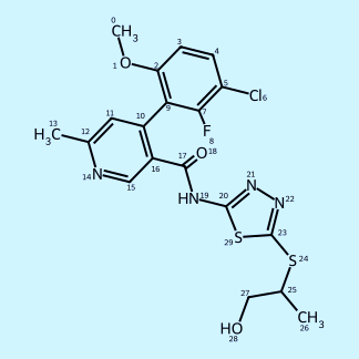 COc1ccc(Cl)c(F)c1-c1cc(C)ncc1C(=O)Nc1nnc(SC(C)CO)s1